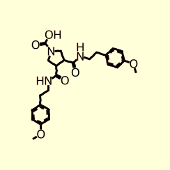 COc1ccc(CCNC(=O)C2CN(C(=O)O)CC2C(=O)NCCc2ccc(OC)cc2)cc1